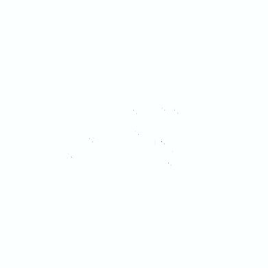 CCN(CC)C(=O)Nc1cn(C2CCCCO2)nc1-c1nc2ccc(N3CCN(C)CC3)cc2[nH]1